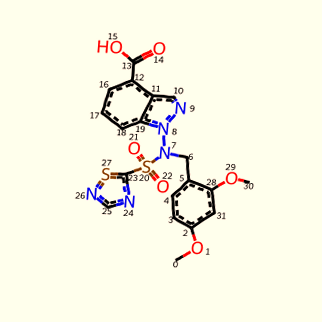 COc1ccc(CN(n2ncc3c(C(=O)O)cccc32)S(=O)(=O)c2ncns2)c(OC)c1